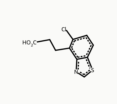 O=C(O)CCc1c(Cl)ccc2scnc12